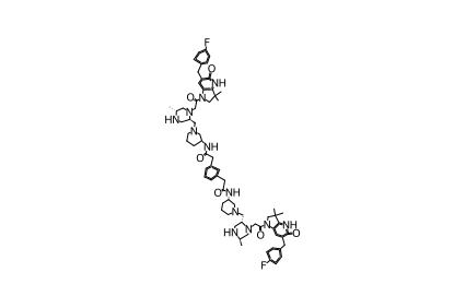 C[C@@H]1CN(CC(=O)N2CC(C)(C)c3[nH]c(=O)c(Cc4ccc(F)cc4)cc32)[C@@H](CN2CCC[C@H](NC(=O)Cc3cccc(CC(=O)N[C@H]4CCCN(C[C@H]5CN[C@H](C)CN5CC(=O)N5CC(C)(C)c6[nH]c(=O)c(Cc7ccc(F)cc7)cc65)C4)c3)C2)CN1